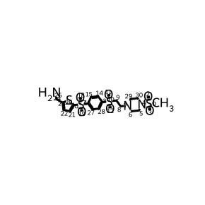 CS(=O)(=O)N1CCN(CCS(=O)(=O)c2ccc(S(=O)(=O)c3ccc(CN)s3)cc2)CC1